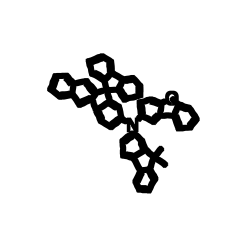 CC1(C)c2ccccc2-c2ccc(N(c3ccc4c(c3)C3(c5ccccc5-c5ccccc53)c3cc5ccccc5cc3-4)c3ccc4oc5ccccc5c4c3)cc21